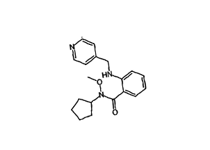 CON(C(=O)c1ccccc1NCc1c[c]ncc1)C1CCCC1